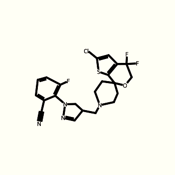 N#Cc1cccc(F)c1N1CC(CN2CCC3(CC2)OCC(F)(F)c2cc(Cl)sc23)C=N1